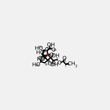 C=CC(=O)OC[C@@H](O)[C@](O)(CC(=O)O)[C@@](O)(CC(=O)O)[C@](O)(CC(=O)O)C(=O)CC(=O)O